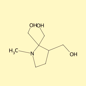 CN1CCC(CO)C1(CO)CO